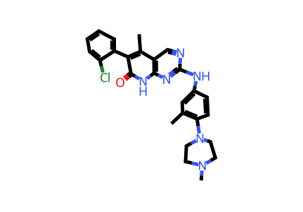 Cc1cc(Nc2ncc3c(C)c(-c4ccccc4Cl)c(=O)[nH]c3n2)ccc1N1CCN(C)CC1